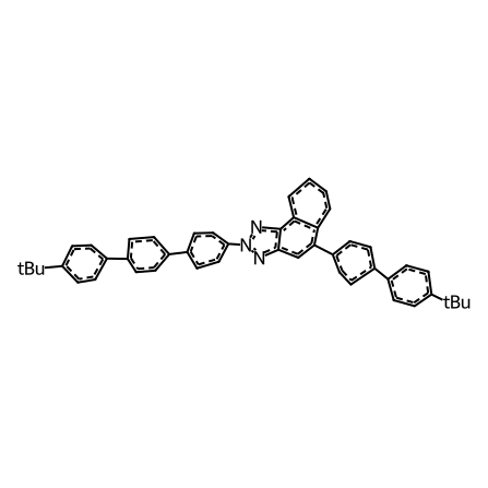 CC(C)(C)c1ccc(-c2ccc(-c3ccc(-n4nc5cc(-c6ccc(-c7ccc(C(C)(C)C)cc7)cc6)c6ccccc6c5n4)cc3)cc2)cc1